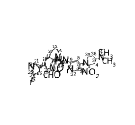 CN(C)C1CCN(c2cc(NC(=O)N3CCCc4cc(-c5cncc(F)c5)c(C=O)nc43)ncc2[N+](=O)[O-])CC1